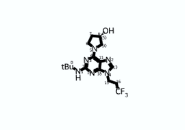 CC(C)(C)Nc1nc(N2CC[C@H](O)C2)c2ncn(CCC(F)(F)F)c2n1